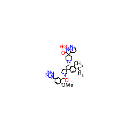 COc1ccc(-n2cnnn2)cc1C(=O)N1CCC(CCN2CCC(C(=O)NO)(c3cccnc3)CC2)(c2ccc(C)c(C)c2)C1